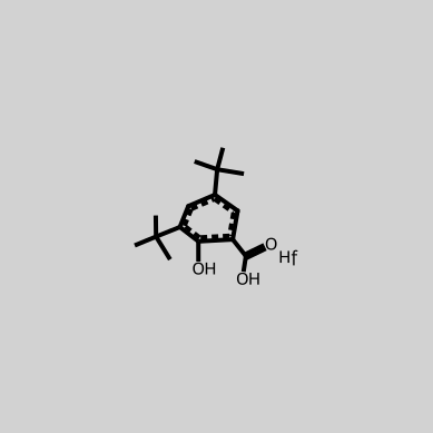 CC(C)(C)c1cc(C(=O)O)c(O)c(C(C)(C)C)c1.[Hf]